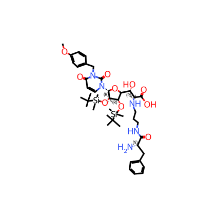 COc1ccc(Cn2c(=O)ccn([C@@H]3OC([C@H](O)[C@H](NCCCNC(=O)[C@@H](N)Cc4ccccc4)C(=O)O)[C@@H](O[Si](C)(C)C(C)(C)C)[C@H]3O[Si](C)(C)C(C)(C)C)c2=O)cc1